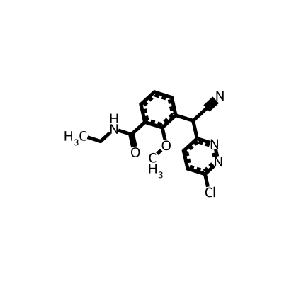 CCNC(=O)c1cccc(C(C#N)c2ccc(Cl)nn2)c1OC